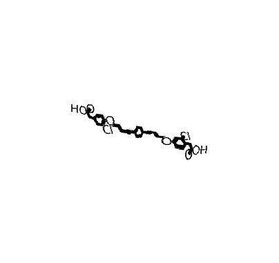 O=C(O)Cc1ccc(OCC=CC#Cc2ccc(C#CC=CCOc3ccc(CC(=O)O)c(Cl)c3)cc2)c(Cl)c1